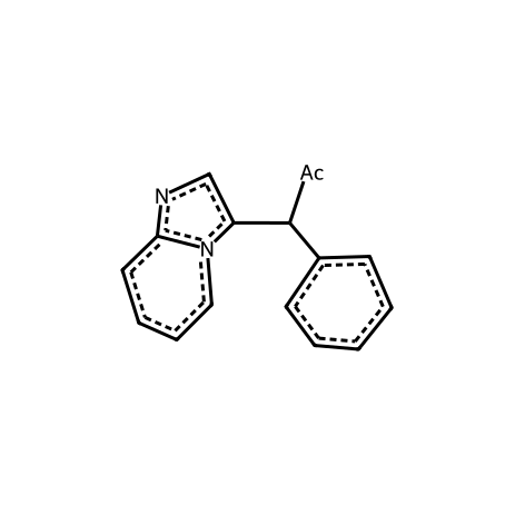 CC(=O)C(c1ccccc1)c1cnc2ccccn12